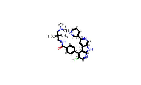 CN(C)CC(C)(C)CNC(=O)c1ccc(-c2c(F)cnc3[nH]c4cnc(-c5cccnc5)cc4c23)cc1